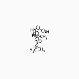 CCN(CC)CCN1CCc2[nH]c(C=C3C(=O)Nc4cccc(C5CCNCC5)c43)c(C)c2C1=O